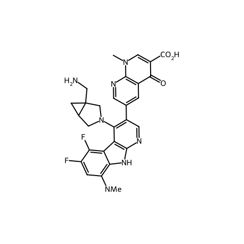 CNc1cc(F)c(F)c2c1[nH]c1ncc(-c3cnc4c(c3)c(=O)c(C(=O)O)cn4C)c(N3CC4CC4(CN)C3)c12